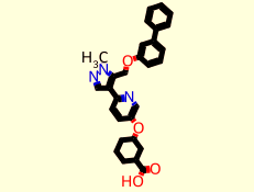 Cn1ncc(-c2ccc(OC3CCCC(C(=O)O)C3)cn2)c1COc1cccc(-c2ccccc2)c1